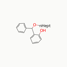 CCCCCCCOC(c1ccccc1)c1ccccc1O